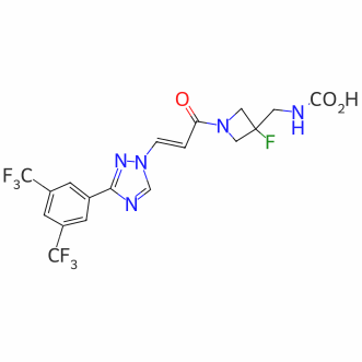 O=C(O)NCC1(F)CN(C(=O)/C=C/n2cnc(-c3cc(C(F)(F)F)cc(C(F)(F)F)c3)n2)C1